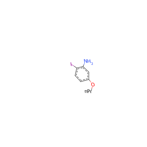 CCCOc1ccc(I)c(N)c1